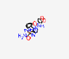 NC(=O)c1nc2c(s1)C(c1ccccc1N)N(C(=O)Nc1ccc3c(c1)OCO3)CC2